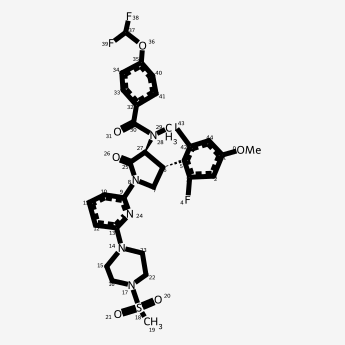 COc1cc(F)c([C@@H]2CN(c3cccc(N4CCN(S(C)(=O)=O)CC4)n3)C(=O)[C@H]2N(C)C(=O)c2ccc(OC(F)F)cc2)c(I)c1